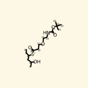 CCC(CC(C)O)SC(=O)CCOCCNC(=O)OC(C)(C)C